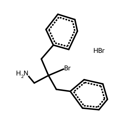 Br.NCC(Br)(Cc1ccccc1)Cc1ccccc1